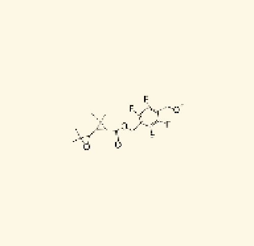 COCc1c(F)c(F)c(COC(=O)C2C(C3OC3(C)C)C2(C)C)c(F)c1F